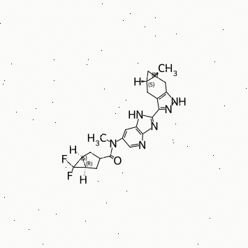 CN(C(=O)C1C[C@@H]2[C@H](C1)C2(F)F)c1cnc2nc(-c3n[nH]c4c3C[C@@H]3C[C@]3(C)C4)[nH]c2c1